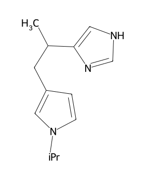 CC(Cc1ccn(C(C)C)c1)c1c[nH]cn1